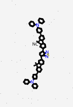 CC1(C)c2cc(-c3ccc(N(c4ccccc4)c4ccccc4)cc3)ccc2-c2ccc(-c3ccc(-c4ccc5c(c4)C(C)(C#N)c4cc(-c6ccc(N(c7ccccc7)c7ccccc7)cc6)ccc4-5)c4nsnc34)cc21